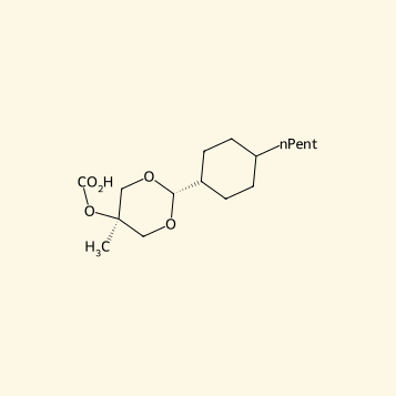 CCCCCC1CCC([C@H]2OC[C@](C)(OC(=O)O)CO2)CC1